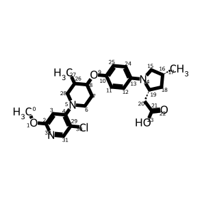 COc1cc(N2CCC(Oc3ccc(N4C[C@H](C)C[C@@H]4CC(=O)O)cc3)C(C)C2)c(Cl)cn1